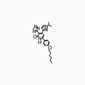 CCCCCCOc1ccc(-c2cc(-c3ccn(C(C)C)n3)c(C3=NCN=N3)c(=O)[nH]2)cc1